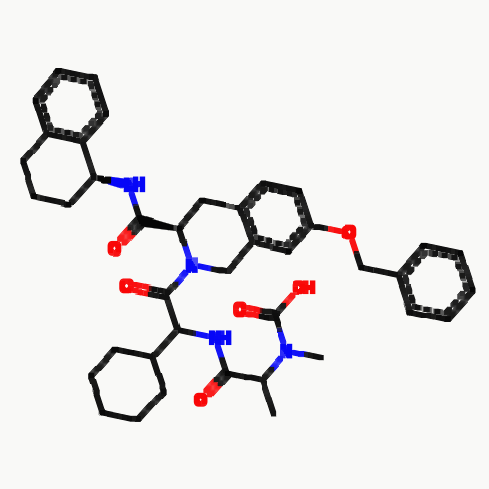 CC(C(=O)NC(C(=O)N1Cc2cc(OCc3ccccc3)ccc2C[C@@H]1C(=O)N[C@H]1CCCc2ccccc21)C1CCCCC1)N(C)C(=O)O